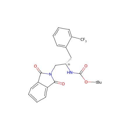 CC(C)(C)OC(=O)N[C@@H](Cc1ccccc1C(F)(F)F)CN1C(=O)c2ccccc2C1=O